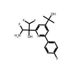 CC(C)(O)c1cc(-c2ccc(F)cc2)nc(C(O)(C(N)F)C(F)F)c1